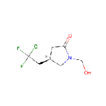 O=C1C[C@H](CC(F)(F)Cl)CN1CO